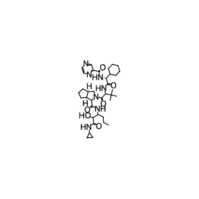 CCCC(NC(=O)C1[C@H]2CCC[C@H]2CN1C(=O)[C@@H](NC(=O)[C@H](NC(=O)c1cnccn1)C1CCCCC1)C(C)(C)C)C(O)C(=O)NC1CC1